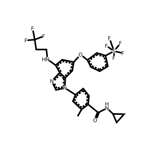 Cc1cc(-n2cnc3c(NCCC(F)(F)F)cc(Oc4cccc(S(F)(F)(F)(F)F)c4)cc32)ccc1C(=O)NC1CC1